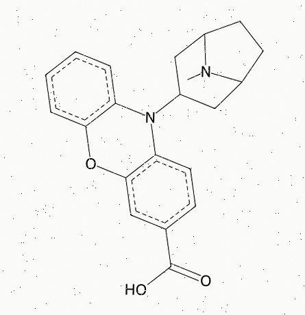 CN1C2CCC1CC(N1c3ccccc3Oc3cc(C(=O)O)ccc31)C2